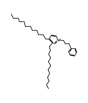 CCCCCCCCCCCCc1cc[n+](CCCc2ccccc2)cc1CCCCCCCCCCCC